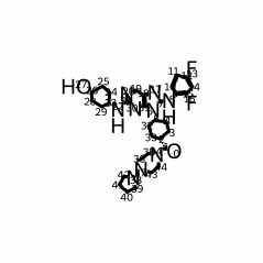 O=C([C@H]1CC[C@@H](n2c(Nc3ccc(F)cc3F)nc3cnc(N[C@H]4CC[C@H](O)CC4)nc32)CC1)N1CCN(N2CCCC2)CC1